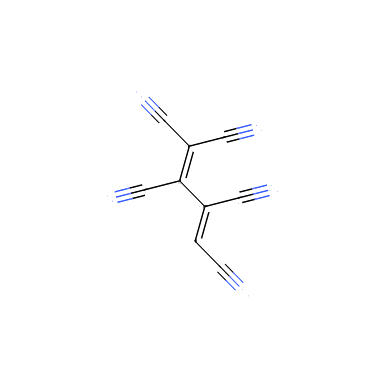 N#CC=C(C#N)C(C#N)=C(C#N)C#N